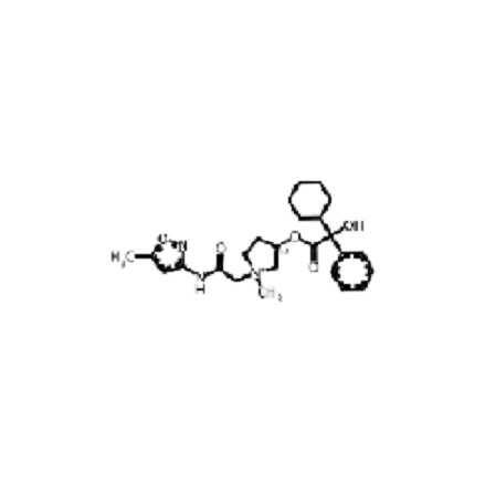 Cc1cc(NC(=O)C[N+]2(C)CC[C@@H](OC(=O)C(O)(c3ccccc3)C3CCCCC3)C2)no1